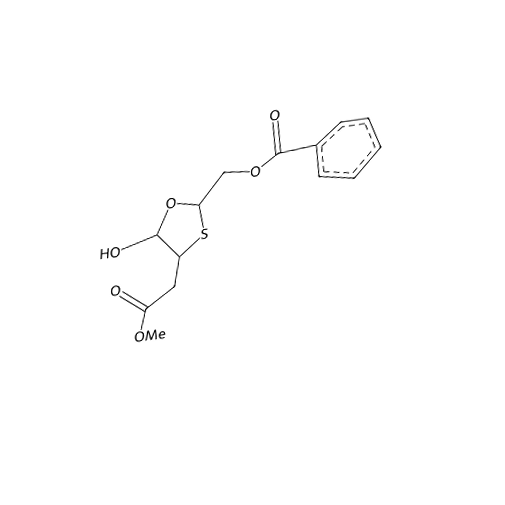 COC(=O)CC1SC(COC(=O)c2ccccc2)OC1O